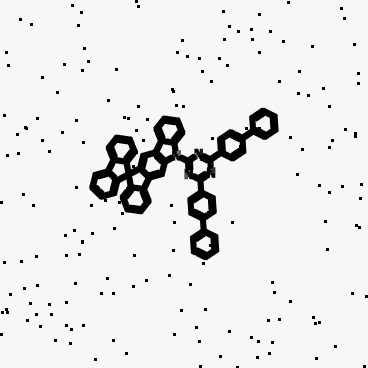 c1ccc(-c2ccc(-c3nc(-c4ccc(-c5ccccc5)cc4)nc(-n4c5ccccc5c5cc6c(cc54)-c4ccccc4C64c5ccccc5-c5ccccc54)n3)cc2)cc1